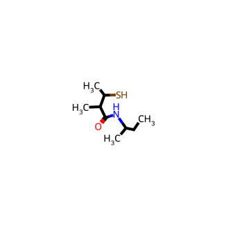 CCC(C)NC(=O)C(C)C(C)S